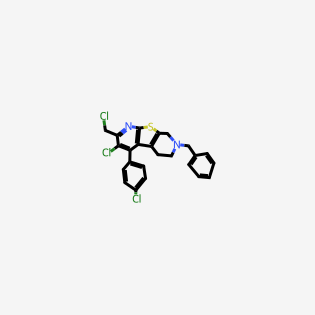 ClCc1nc2sc3c(c2c(-c2ccc(Cl)cc2)c1Cl)CCN(Cc1ccccc1)C3